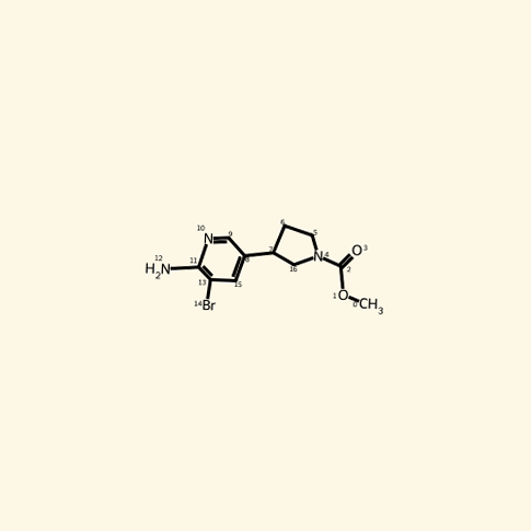 COC(=O)N1CCC(c2cnc(N)c(Br)c2)C1